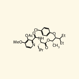 CCC(CC)[C@H](Oc1ccc(Cl)cc1)[C@H](C)OC(=O)[C@H](CC(C)C)NC(=O)c1nccc(OC)c1OC(C)=O